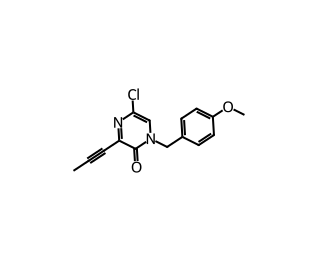 CC#Cc1nc(Cl)cn(Cc2ccc(OC)cc2)c1=O